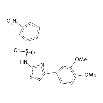 COc1ccc(-c2csc(NS(=O)(=O)c3cccc([N+](=O)[O-])c3)n2)cc1OC